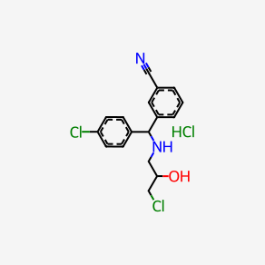 Cl.N#Cc1cccc(C(NCC(O)CCl)c2ccc(Cl)cc2)c1